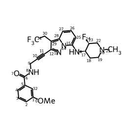 COc1cccc(C(=O)NCC#Cc2nn3c(N[C@@H]4CCN(C)C[C@@H]4F)cccc3c2CC(F)(F)F)c1